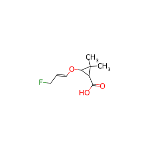 CC1(C)C(OC=CCF)C1C(=O)O